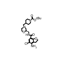 CC(C)(C)OC(=O)N1CCC(CN2CCO[C@H](CNC(=O)c3cc(Cl)c(N)c4c3OCC4)C2)CC1